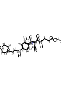 COCCNC(=O)/C(C#N)=C(\C)c1ccc(NCCN2CCOCC2)cc1